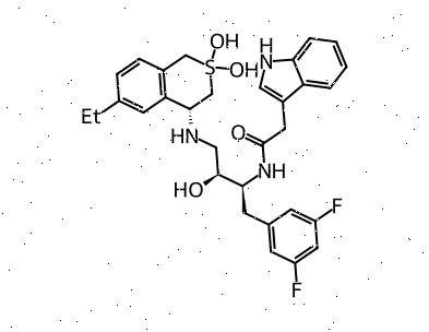 CCc1ccc2c(c1)[C@@H](NC[C@H](O)[C@H](Cc1cc(F)cc(F)c1)NC(=O)Cc1c[nH]c3ccccc13)CS(O)(O)C2